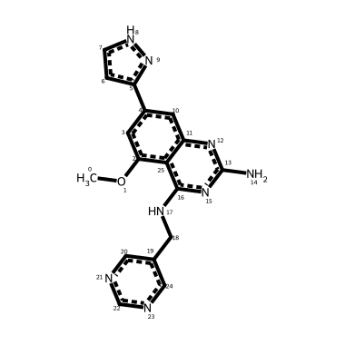 COc1cc(-c2cc[nH]n2)cc2nc(N)nc(NCc3cncnc3)c12